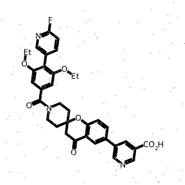 CCOc1cc(C(=O)N2CCC3(CC2)CC(=O)c2cc(-c4cncc(C(=O)O)c4)ccc2O3)cc(OCC)c1-c1ccc(F)nc1